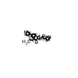 CC(C)CC(C(=O)C1CCN(C(=O)Cc2cccnc2)C1)c1cccc(-c2ccncc2)c1